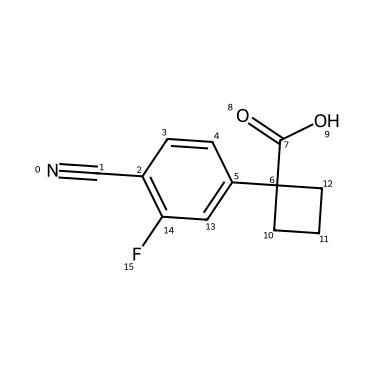 N#Cc1ccc(C2(C(=O)O)CCC2)cc1F